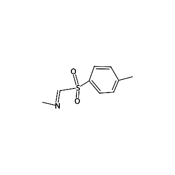 CN=CS(=O)(=O)c1ccc(C)cc1